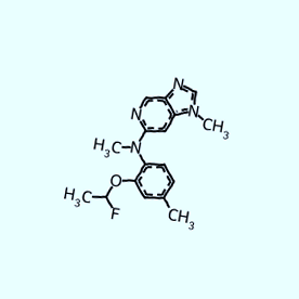 Cc1ccc(N(C)c2cc3c(cn2)ncn3C)c(OC(C)F)c1